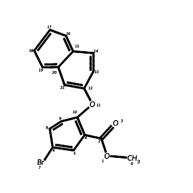 COC(=O)c1cc(Br)ccc1Oc1ccc2ccccc2c1